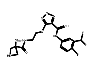 COC1(C(=O)NCCSc2nonc2C(=N)Nc2ccc(F)c(C(F)F)c2)CNC1